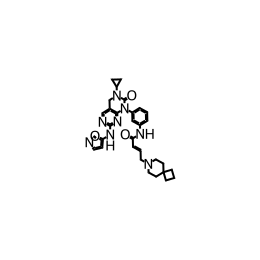 O=C(/C=C/CN1CCC2(CCC2)CC1)Nc1cccc(N2C(=O)N(C3CC3)Cc3cnc(Nc4ccno4)nc32)c1